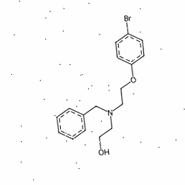 OCCN(CCOc1ccc(Br)cc1)Cc1ccccc1